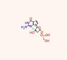 Nc1nc2c(ccn2[C@@H]2O[C@H](OOP(O)CO)C[C@]2(O)F)c(=O)[nH]1